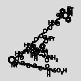 CC(C)C(=O)OCc1ccc(NC(=O)[C@H](CCCNC(N)=O)NC(=O)[C@@H](NC(=O)[C@@H](CCCCNC(=O)COC2CCCCCc3nnn(CCOCCOCCOCCOCCC(=O)NCCS(=O)(=O)O)c32)NC(=O)CCOCCOCCOCCOCCNC(=O)CCC(=O)N2Cc3ccccc3-c3nnn(C(C)C)c3-c3ccccc32)C(C)C)cc1